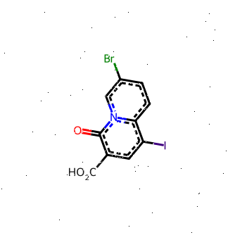 O=C(O)c1cc(I)c2ccc(Br)cn2c1=O